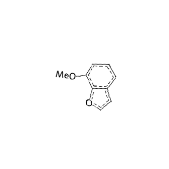 COc1cccc2ccoc12